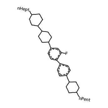 CCCCCCCC1CCC(C2CCC(c3ccc(-c4ccc(C5CCC(CCCCC)CC5)cc4)c(F)c3)CC2)CC1